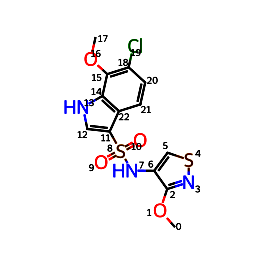 COc1nscc1NS(=O)(=O)c1c[nH]c2c(OC)c(Cl)ccc12